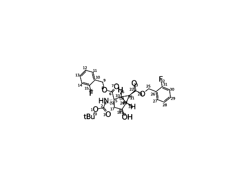 CC(C)(C)OC(=O)N[C@@]1(C(=O)OCc2ccccc2F)C[C@H](O)[C@H]2[C@H](C(=O)OCc3ccccc3F)[C@H]21